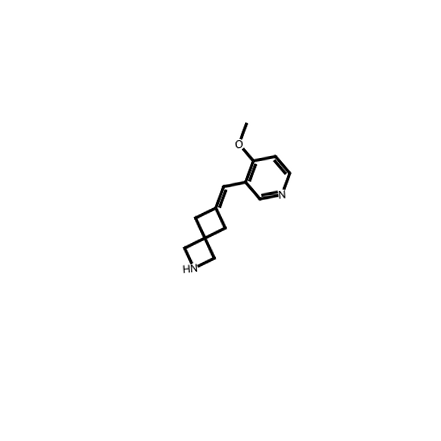 COc1ccncc1C=C1CC2(CNC2)C1